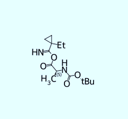 CCC1(C(=N)OC(=O)[C@H](C)NC(=O)OC(C)(C)C)CC1